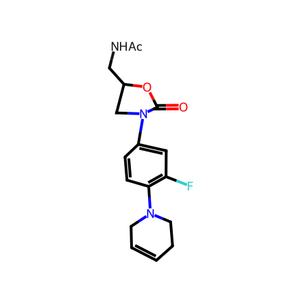 CC(=O)NCC1CN(c2ccc(N3CC=CCC3)c(F)c2)C(=O)O1